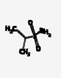 BS(=O)(=O)C(C)C